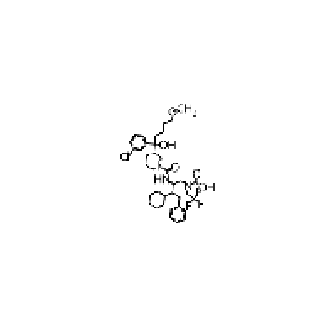 COCCCC[C@@](O)(c1cccc(Cl)c1)[C@@H]1CCCN(C(=O)NC(CN(CC(F)(F)F)C(=O)O)C(Cc2ccccc2)C2CCCCC2)C1